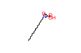 CCCCCCCCC=CCCCCCCCCN1CC(C(=O)O)CC1=O